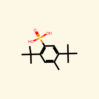 [CH2]c1cc(C(C)(C)C)c(P(=O)(O)O)cc1C(C)(C)C